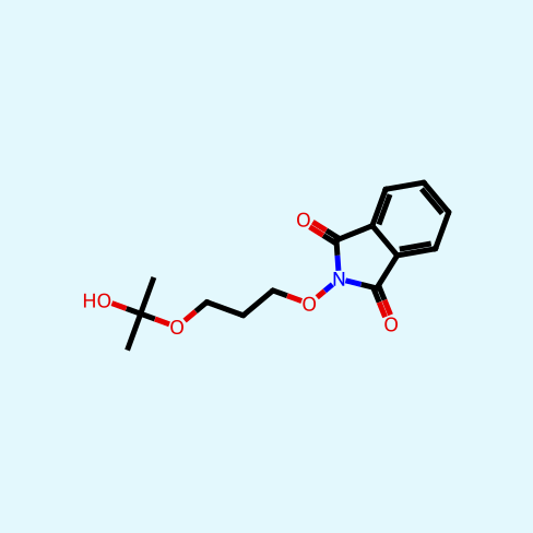 CC(C)(O)OCCCON1C(=O)c2ccccc2C1=O